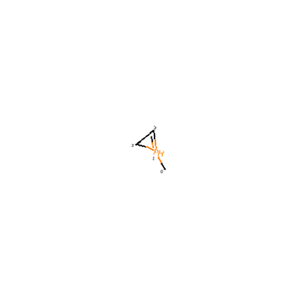 C[PH]1=CC1